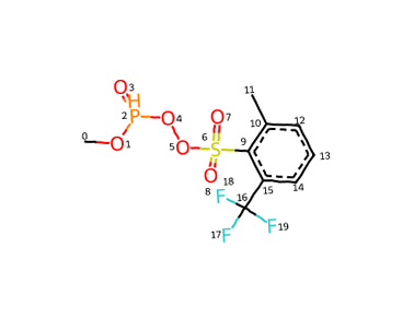 CO[PH](=O)OOS(=O)(=O)c1c(C)cccc1C(F)(F)F